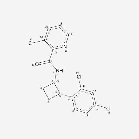 O=C(N[C@H]1CC[C@H]1c1ccc(Cl)cc1Cl)c1ncccc1Cl